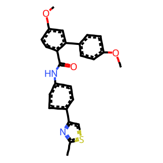 COc1ccc(-c2cc(OC)ccc2C(=O)Nc2ccc(-c3csc(C)n3)cc2)cc1